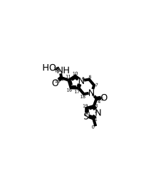 Cc1nc(C(=O)N2CCn3cc(C(=O)NO)cc3C2)cs1